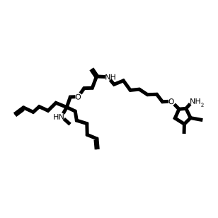 C=CCCCCC(CCCCC=C)(COCCC(=C)NCCCCCCCOC1CC(C)C(C)C1N)NC